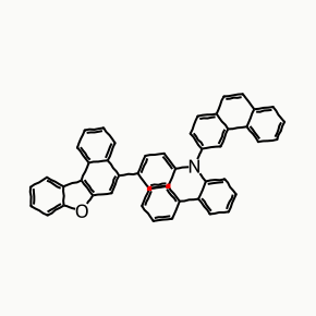 c1ccc(-c2ccccc2N(c2ccc(-c3cc4oc5ccccc5c4c4ccccc34)cc2)c2ccc3ccc4ccccc4c3c2)cc1